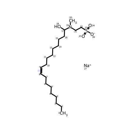 CCCCCCCC/C=C\CCCCCCCC(O)N(C)CCS(=O)(=O)[O-].[Na+]